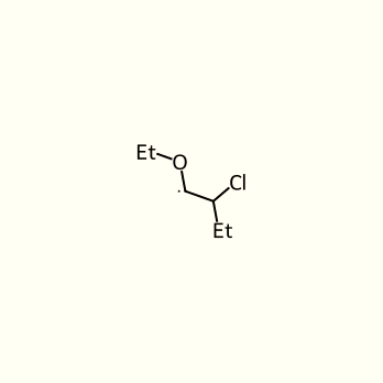 CCO[CH]C(Cl)CC